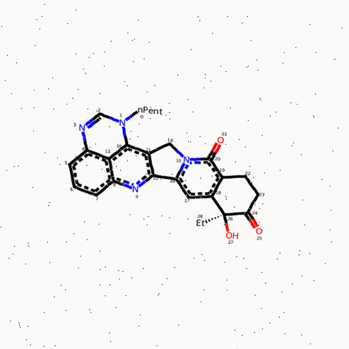 CCCCCN1C=Nc2cccc3nc4c(c1c23)Cn1c-4cc2c(c1=O)CCC(=O)[C@]2(O)CC